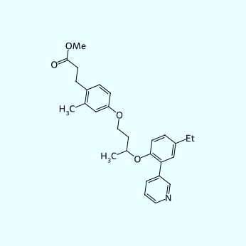 CCc1ccc(OC(C)CCOc2ccc(CCC(=O)OC)c(C)c2)c(-c2cccnc2)c1